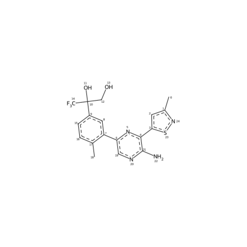 Cc1cc(-c2nc(-c3cc(C(O)(CO)C(F)(F)F)ccc3C)cnc2N)sn1